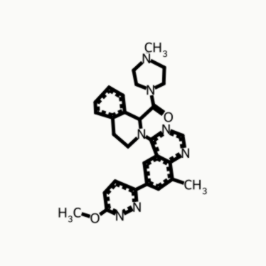 COc1ccc(-c2cc(C)c3ncnc(N4CCc5ccccc5C4C(=O)N4CCN(C)CC4)c3c2)nn1